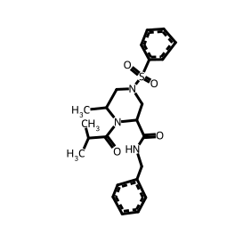 CC(C)C(=O)N1C(C)CN(S(=O)(=O)c2ccccc2)CC1C(=O)NCc1ccccc1